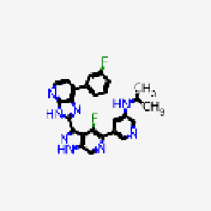 CC(C)Nc1cncc(-c2ncc3[nH]nc(-c4nc5c(-c6cccc(F)c6)ccnc5[nH]4)c3c2F)c1